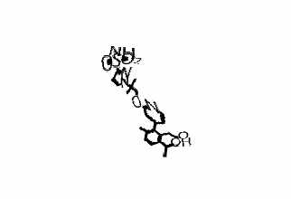 Cc1ccc(C(C)C)c(CC(=O)O)c1-c1ccnc(OCC(C)(C)n2ccc(S(N)(=O)=O)n2)c1